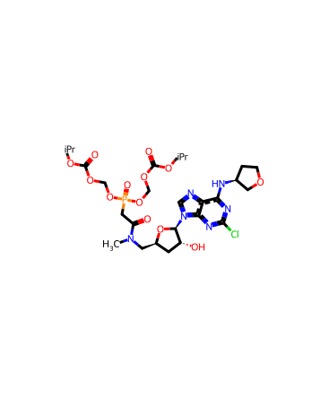 CC(C)OC(=O)OCOP(=O)(CC(=O)N(C)C[C@@H]1C[C@@H](O)[C@H](n2cnc3c(N[C@H]4CCOC4)nc(Cl)nc32)O1)OCOC(=O)OC(C)C